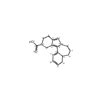 O=C(O)N1CCc2nn3c(c2C1)C1=NN=CCC1CCC3